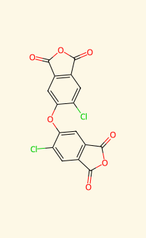 O=C1OC(=O)c2cc(Oc3cc4c(cc3Cl)C(=O)OC4=O)c(Cl)cc21